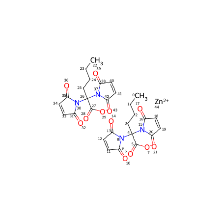 CCCCC(C(=O)[O-])(N1C(=O)C=CC1=O)N1C(=O)C=CC1=O.CCCCC(C(=O)[O-])(N1C(=O)C=CC1=O)N1C(=O)C=CC1=O.[Zn+2]